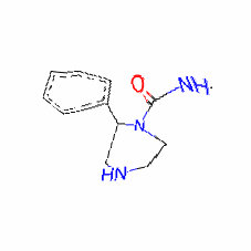 [NH]C(=O)N1CCNCC1c1ccccc1